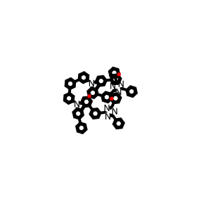 c1ccc(-c2ccc3c(c2)c2c(-c4cccc(-c5nc(-c6ccccc6)nc(-c6ccccc6)n5)c4)cccc2n3-c2cccc(-c3cccc(-c4cccc(-n5c6ccc(-c7ccccc7)cc6c6c(-c7cccc(-c8nc(-c9ccccc9)nc(-c9ccccc9)n8)c7)cccc65)c4)c3)c2)cc1